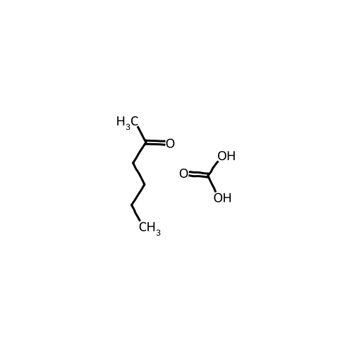 CCCCC(C)=O.O=C(O)O